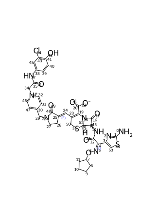 Nc1nc(/C(=N/OC2CCCC2)C(=O)N[C@@H]2C(=O)N3C(C(=O)[O-])=C(/C=C4\CCN(Cc5cc[n+](CC(=O)Nc6ccc(O)c(Cl)c6)cc5)C4=O)CS[C@H]23)cs1